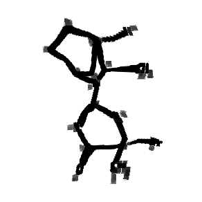 CC(C)[C@@]1(C)SC(N2C3CC[C@H](C3)[C@H]2C)=NC1=O